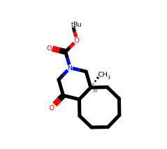 CC(C)(C)OC(=O)N1CC(=O)C2CCCCCC[C@]2(C)C1